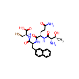 C[C@@H](O)[C@H](N)C(=O)N[C@@H](CCC(N)=O)C(=O)N[C@@H](Cc1ccc2ccccc2c1)C(=O)N[C@@H](CS)C(=O)O